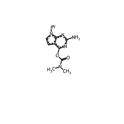 CC(C)n1ccc2c(OC(=O)N(C)C)nc(N)nc21